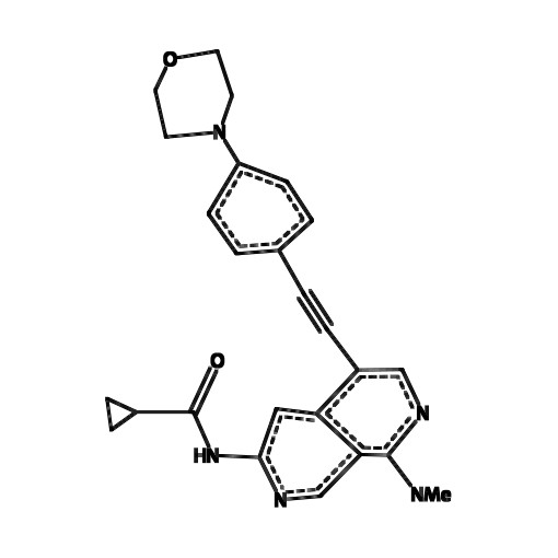 CNc1ncc(C#Cc2ccc(N3CCOCC3)cc2)c2cc(NC(=O)C3CC3)ncc12